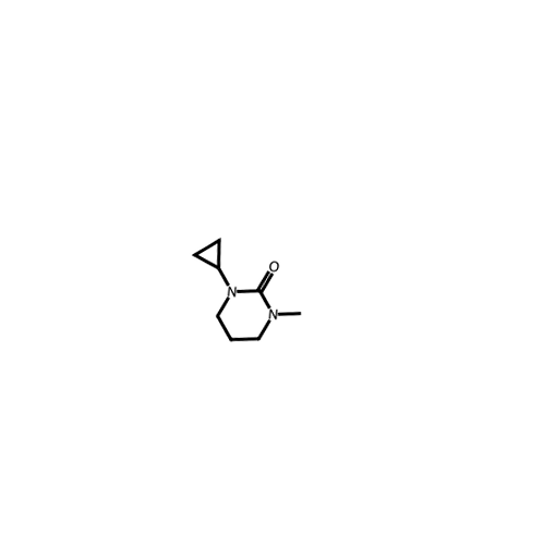 CN1CCCN(C2CC2)C1=O